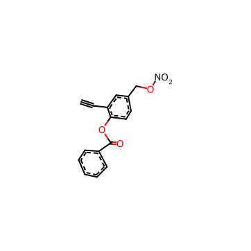 C#Cc1cc(CO[N+](=O)[O-])ccc1OC(=O)c1ccccc1